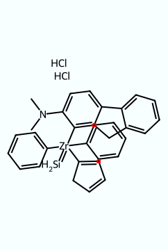 CN(C)c1ccc2c([c]1[Zr](=[SiH2])([C]1=CC=CC1)([c]1ccccc1)[c]1ccccc1)Cc1ccccc1-2.Cl.Cl